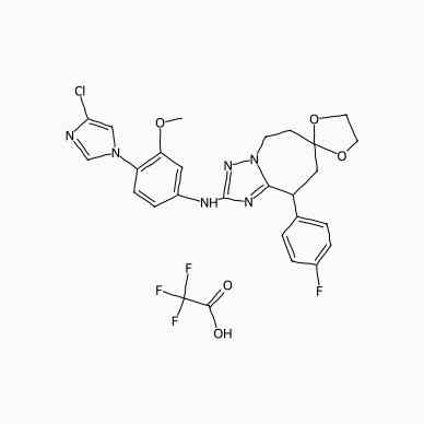 COc1cc(Nc2nc3n(n2)CCC2(CC3c3ccc(F)cc3)OCCO2)ccc1-n1cnc(Cl)c1.O=C(O)C(F)(F)F